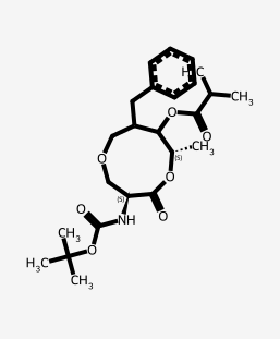 CC(C)C(=O)OC1C(Cc2ccccc2)COC[C@H](NC(=O)OC(C)(C)C)C(=O)O[C@H]1C